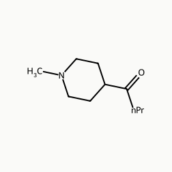 CCCC(=O)C1CCN(C)CC1